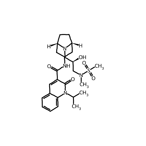 CC(C)n1c(=O)c(C(=O)NC2C[C@H]3CC[C@@H](C2)N3C[C@@H](O)CN(C)S(C)(=O)=O)cc2ccccc21